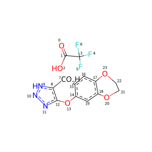 O=C(O)C(F)(F)F.O=C(O)c1[nH]nnc1Oc1ccc2c(c1)OCCO2